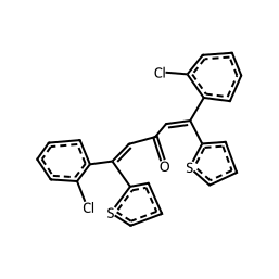 O=C(C=C(c1cccs1)c1ccccc1Cl)C=C(c1cccs1)c1ccccc1Cl